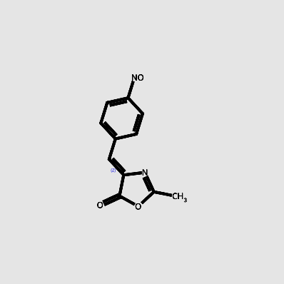 CC1=N/C(=C\c2ccc(N=O)cc2)C(=O)O1